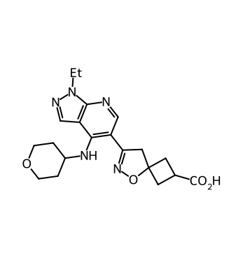 CCn1ncc2c(NC3CCOCC3)c(C3=NOC4(C3)CC(C(=O)O)C4)cnc21